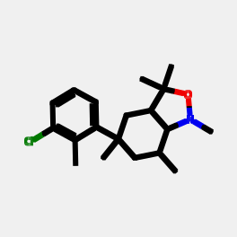 Cc1c(Cl)cccc1C1(C)CC(C)C2C(C1)C(C)(C)ON2C